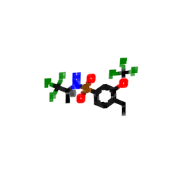 CCc1ccc(S(=O)(=O)N[C@@H](C)C(F)(F)F)cc1OC(F)(F)F